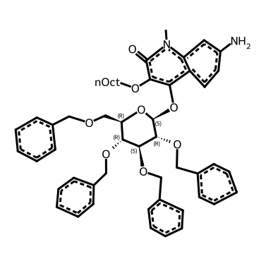 CCCCCCCCOc1c(O[C@@H]2O[C@H](COCc3ccccc3)[C@@H](OCc3ccccc3)[C@H](OCc3ccccc3)[C@H]2OCc2ccccc2)c2ccc(N)cc2n(C)c1=O